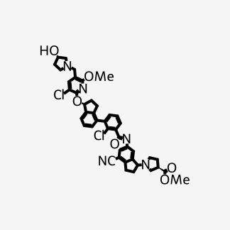 COC(=O)[C@@H]1CCN(C2CCc3c2cc2nc(-c4cccc(-c5cccc6c5CC[C@@H]6Oc5nc(OC)c(CN6CC[C@@H](O)C6)cc5Cl)c4Cl)oc2c3C#N)C1